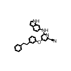 N#Cc1cc(Oc2cccc(CCc3ccccc3)c2)cc(Nc2ccc3cc[nH]c3c2)n1